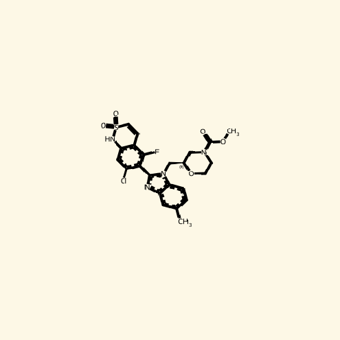 COC(=O)N1CCO[C@@H](Cn2c(-c3c(Cl)cc4c(c3F)C=CS(=O)(=O)N4)nc3cc(C)ccc32)C1